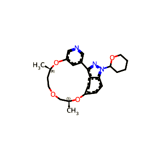 C[C@@H]1CCOC[C@H](C)Oc2ccc3c(c2)c(nn3C2CCCCO2)-c2cncc(c2)O1